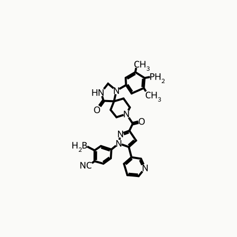 Bc1cc(-n2nc(C(=O)N3CCC4(CC3)C(=O)NCN4c3cc(C)c(P)c(C)c3)cc2-c2cccnc2)ccc1C#N